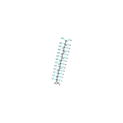 CC(F)(F)C(F)(F)C(F)(F)C(F)(F)C(F)(F)C(F)(F)C(F)(F)C(F)(F)C(F)(F)C(F)(F)C(F)(F)C(F)(F)[C](F)F